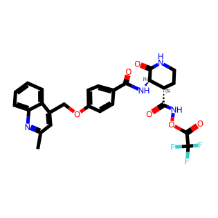 Cc1cc(COc2ccc(C(=O)N[C@@H]3C(=O)NCC[C@@H]3C(=O)NOC(=O)C(F)(F)F)cc2)c2ccccc2n1